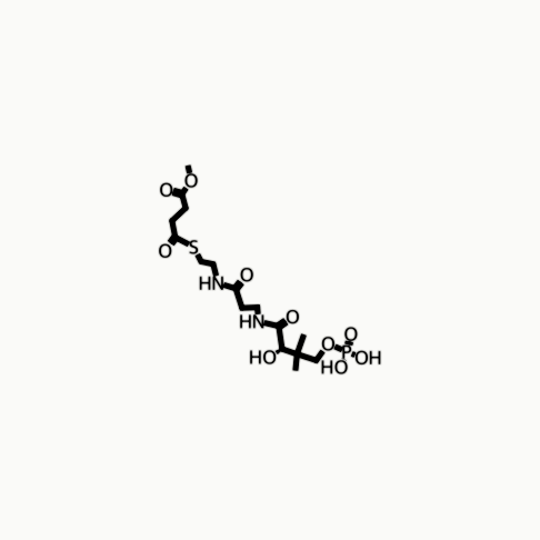 COC(=O)CCC(=O)SCCNC(=O)CCNC(=O)[C@H](O)C(C)(C)COP(=O)(O)O